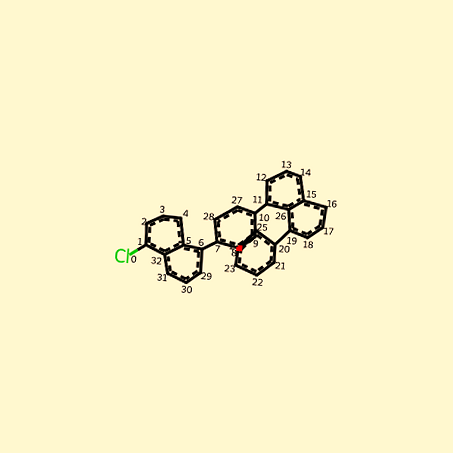 Clc1cccc2c(-c3ccc(-c4cccc5cccc(-c6ccccc6)c45)cc3)cccc12